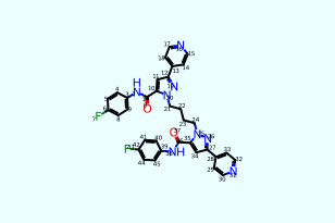 O=C(Nc1ccc(F)cc1)c1cc(-c2ccncc2)nn1CCCCn1nc(-c2ccncc2)cc1C(=O)Nc1ccc(F)cc1